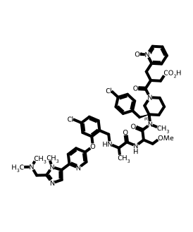 COCC(NC(=O)C(C)NCc1ccc(Cl)cc1Oc1ccc(-c2cnc(CN(C)C)n2C)nc1)C(=O)N(C)[C@@]1(Cc2ccc(Cl)cc2)CCCN(C(=O)C(CC(=O)O)Cc2cccc[n+]2[O-])C1